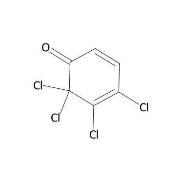 O=C1C=CC(Cl)=C(Cl)C1(Cl)Cl